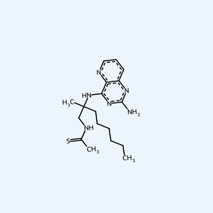 CCCCCCC(C)(CNC(C)=S)Nc1nc(N)nc2cccnc12